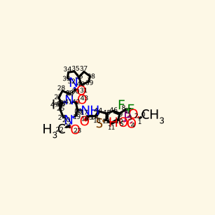 CCOP(=O)(O)C(F)(F)c1ccc2sc(C(=O)N[C@H]3CN(C(C)=O)CC[C@H]4CC[C@@H](C(=O)N5CCCC56CCCC6)N4C3=O)cc2c1